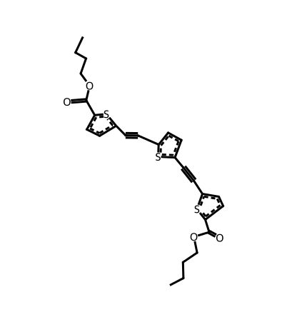 CCCCOC(=O)c1ccc(C#Cc2ccc(C#Cc3ccc(C(=O)OCCCC)s3)s2)s1